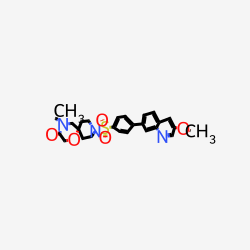 CCN1CC2(CCN(S(=O)(=O)c3ccc(-c4ccc5cc(OC)cnc5c4)cc3)CC2)OCC1=O